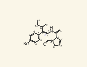 C=C(N/C=C(/c1ccc(Br)cc1)C(C)CC)C1C=CCN1C=O